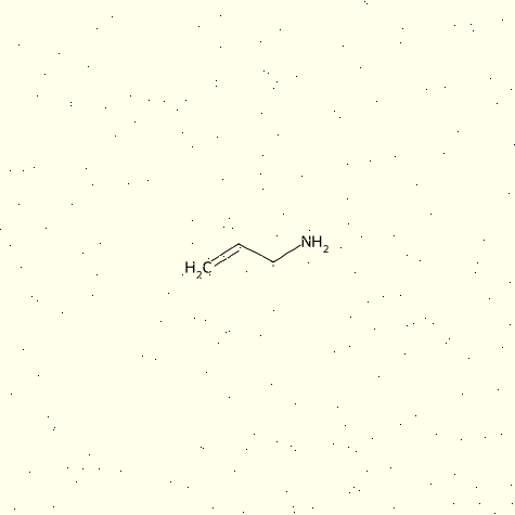 C=C[CH]N